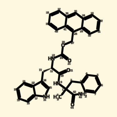 CC(Cc1ccccc1)(NC(=O)[C@H](Cc1c[nH]c2ccccc12)NC(=O)OCc1c2ccccc2cc2ccccc12)C(N)=O